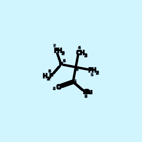 CC(C)(C)C(=O)C(C)(P)P(P)P